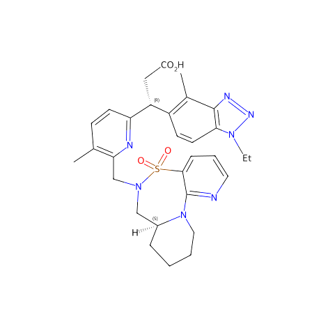 CCn1nnc2c(C)c([C@@H](CC(=O)O)c3ccc(C)c(CN4C[C@@H]5CCCCN5c5ncccc5S4(=O)=O)n3)ccc21